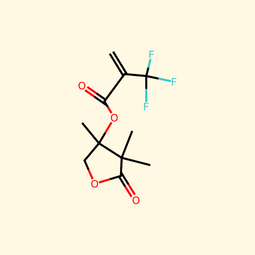 C=C(C(=O)OC1(C)COC(=O)C1(C)C)C(F)(F)F